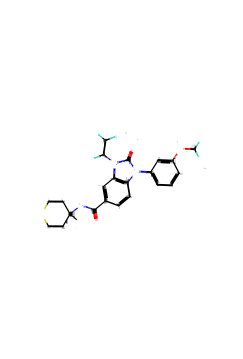 CC1(NC(=O)c2ccc3c(c2)n(C(F)C(F)F)c(=O)n3-c2cccc(OC(F)F)c2)CCSCC1